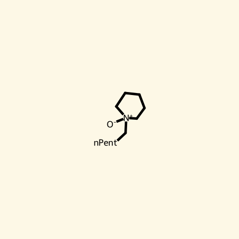 CCCCCC[N+]1([O-])CCCCC1